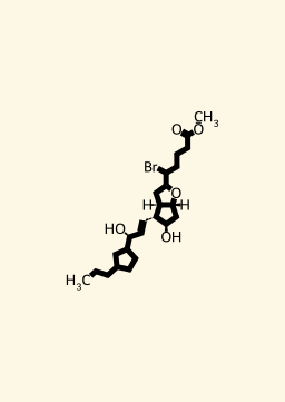 CCCC1CCC([C@H](O)/C=C/[C@@H]2[C@H]3CC(C(Br)CCCC(=O)OC)O[C@@H]3C[C@H]2O)C1